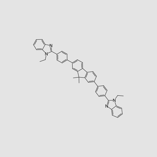 CCn1c(-c2ccc(-c3ccc4c(c3)C(C)(C)c3cc(-c5ccc(-c6nc7ccccc7n6CC)cc5)ccc3-4)cc2)nc2ccccc21